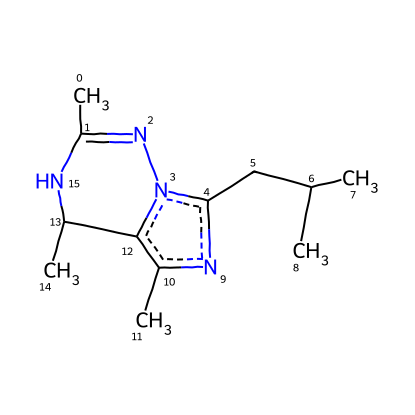 CC1=Nn2c(CC(C)C)nc(C)c2C(C)N1